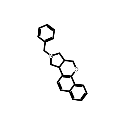 c1ccc(CN2CC3COc4c(ccc5ccccc45)C3C2)cc1